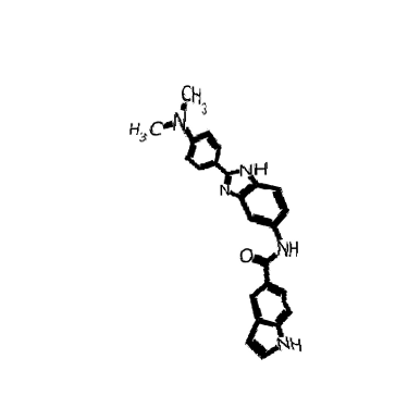 CN(C)c1ccc(-c2nc3cc(NC(=O)c4ccc5[nH]ccc5c4)ccc3[nH]2)cc1